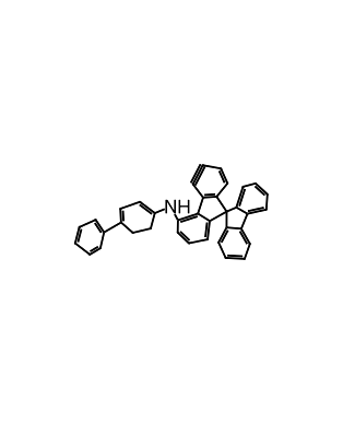 c1ccc2c(c#1)-c1c(NC3=CC=C(c4ccccc4)CC3)cccc1C21c2ccccc2-c2ccccc21